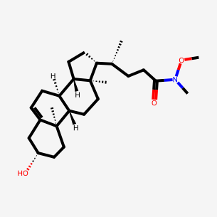 CON(C)C(=O)CC[C@@H](C)[C@H]1CC[C@H]2[C@@H]3CC=C4C[C@@H](O)CC[C@]4(C)[C@H]3CC[C@]12C